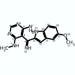 CNc1ncnc(N)c1C(=N)c1cc2cc(OC)ccc2[nH]1